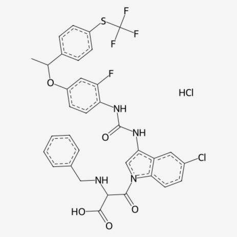 CC(Oc1ccc(NC(=O)Nc2cn(C(=O)C(NCc3ccccc3)C(=O)O)c3ccc(Cl)cc23)c(F)c1)c1ccc(SC(F)(F)F)cc1.Cl